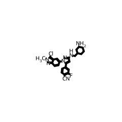 Cn1nc2ccc(-n3nc(NCC4CCC[C@@H](N)C4)cc3-c3ccc(C#N)c(F)c3)cc2c1Cl